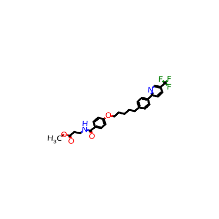 COC(=O)CCNC(=O)c1ccc(OCCCCCc2ccc(-c3ccc(C(F)(F)F)cn3)cc2)cc1